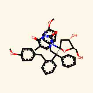 COc1ccc(Cc2ccccc2C(Cc2ccc(OC)cc2)(c2ccccc2)[C@]2(n3cc(C)c(=O)[nH]c3=O)C[C@H](O)[C@@H](CO)O2)cc1